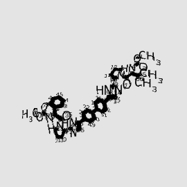 COC(=O)N[C@H](C(=O)N1CCC[C@H]1c1ncc(-c2ccc(-c3ccc(-c4cnc([C@@H]5CCCN5C(=O)[C@H](NC(=O)OC)c5ccccc5)[nH]4)cc3)cc2)[nH]1)C(C)C